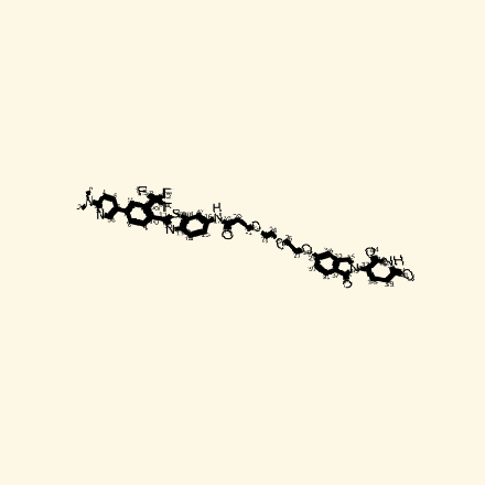 CN(C)c1ccc(-c2ccc(-c3nc4ccc(NC(=O)CCOCCOCCOc5ccc6c(c5)CN(C5CCC(=O)NC5=O)C6=O)cc4s3)c(C(F)(F)F)c2)cn1